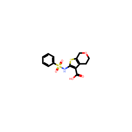 O=C(O)c1c(NS(=O)(=O)c2ccccc2)sc2c1CCOC2